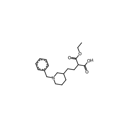 CCOC(=O)C(CCC1CCCN(Cc2ccccc2)C1)C(=O)O